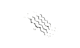 CCCCCCCCCCCCCCCCCC(=O)[O-].CCCCCCCCCCCCCCCCCC(=O)[O-].CCCCCCCCCCCCCCCCCC(=O)[O-].CCCCCCCCCCCCCCCCCC(=O)[O-].[Hf+4]